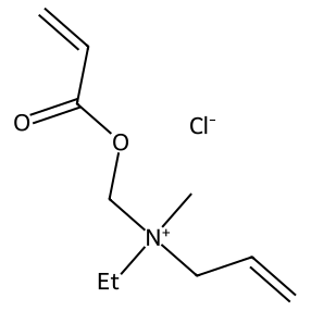 C=CC[N+](C)(CC)COC(=O)C=C.[Cl-]